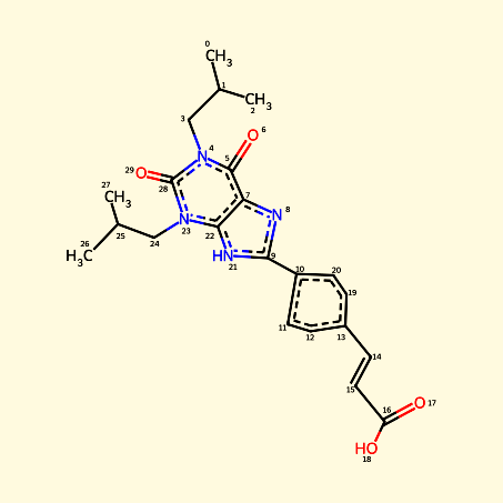 CC(C)Cn1c(=O)c2nc(-c3ccc(/C=C/C(=O)O)cc3)[nH]c2n(CC(C)C)c1=O